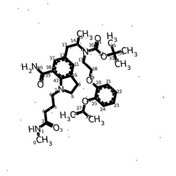 CNC(=O)CCCN1CCc2cc(CC(C)N(CCOc3ccccc3OC(C)C)C(=O)OC(C)(C)C)cc(C(N)=O)c21